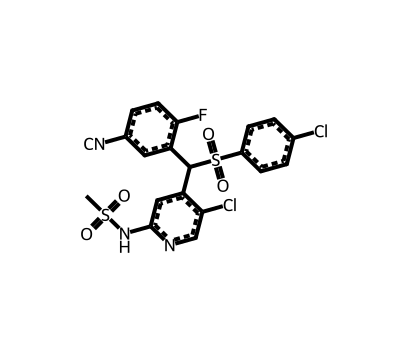 [C-]#[N+]c1ccc(F)c(C(c2cc(NS(C)(=O)=O)ncc2Cl)S(=O)(=O)c2ccc(Cl)cc2)c1